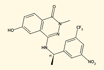 C[C@@H](Nc1nn(C)c(=O)c2ccc(O)cc12)c1cc([N+](=O)[O-])cc(C(F)(F)F)c1